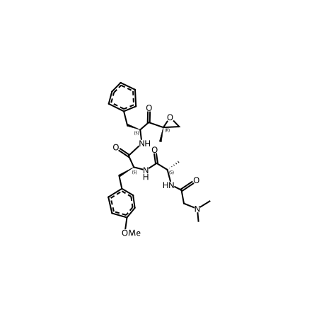 COc1ccc(C[C@H](NC(=O)[C@H](C)NC(=O)CN(C)C)C(=O)N[C@@H](Cc2ccccc2)C(=O)[C@@]2(C)CO2)cc1